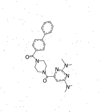 CN(C)c1cc(C(=O)N2CCN(C(=O)c3ccc(-c4ccccc4)cc3)CC2)nc(N(C)C)n1